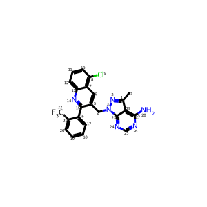 Cc1nn(Cc2cc3c(Cl)cccc3nc2-c2ccccc2C(F)(F)F)c2ncnc(N)c12